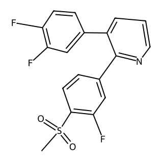 CS(=O)(=O)c1ccc(-c2ncccc2-c2ccc(F)c(F)c2)cc1F